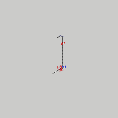 CCCCC/C=C\C/C=C\CCCCCCCC(=O)OCCCCCCCCCCCCCCCCCCCCCCCCCCCCCC(=O)NC(CO)C(O)/C=C/C(O)CCCCCCCCCCCC